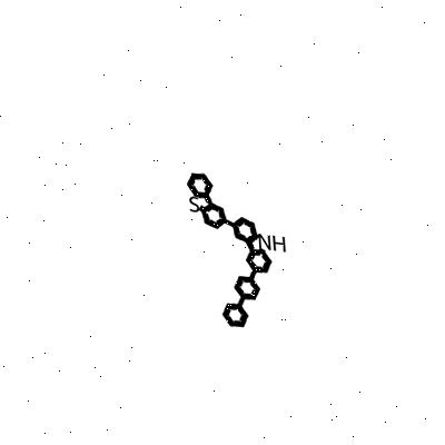 c1ccc(-c2ccc(-c3ccc4[nH]c5ccc(-c6ccc7sc8ccccc8c7c6)cc5c4c3)cc2)cc1